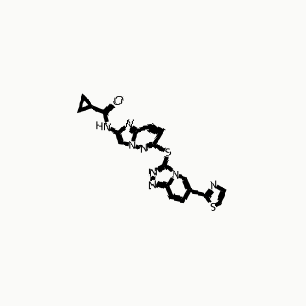 O=C(Nc1cn2nc(Sc3nnc4ccc(-c5nccs5)cn34)ccc2n1)C1CC1